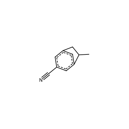 CC1Cc2cc(C#N)cc1c2